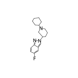 Fc1ccc2nn(C3CCCN(C4CCCCC4)C3)cc2c1